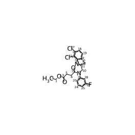 CCOC(=O)CCC(=O)N(Cc1nc2c(Cl)c(Cl)ccc2s1)c1cccc(F)c1